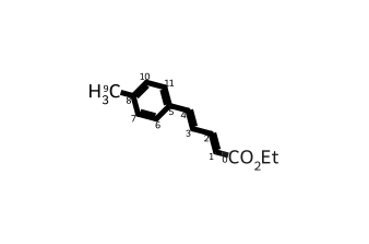 CCOC(=O)/C=C/C=C/c1ccc(C)cc1